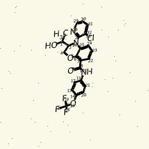 CC(O)C1COc2c(C(=O)Nc3ccc(OC(F)(F)F)cc3)cccc2N1c1ncccc1Cl